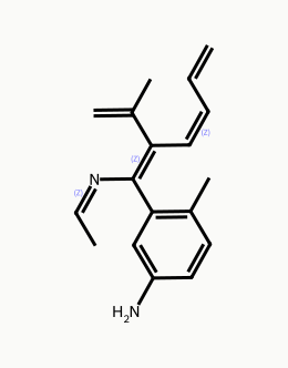 C=C\C=C/C(C(=C)C)=C(/N=C\C)c1cc(N)ccc1C